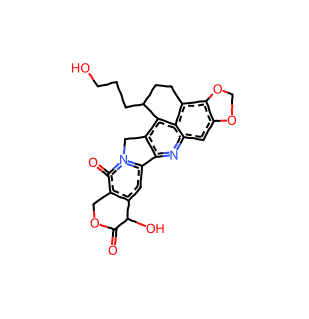 O=C1OCc2c(cc3n(c2=O)Cc2c-3nc3cc4c(c5c3c2C(CCCO)CC5)OCO4)C1O